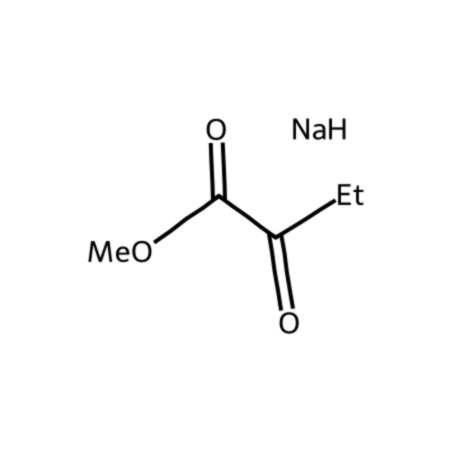 CCC(=O)C(=O)OC.[NaH]